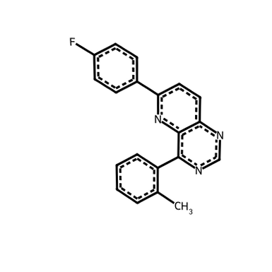 Cc1ccccc1-c1ncnc2ccc(-c3ccc(F)cc3)nc12